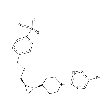 CCc1cnc(N2CCC([C@H]3C[C@H]3COCc3ccc(S(=O)(=O)CC)cc3)CC2)nc1